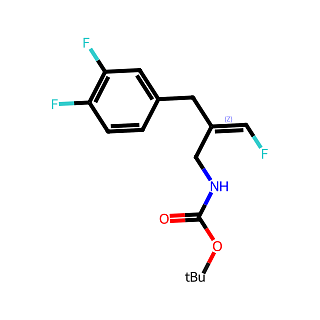 CC(C)(C)OC(=O)NC/C(=C\F)Cc1ccc(F)c(F)c1